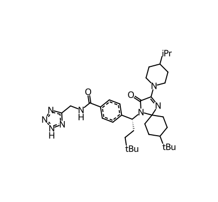 CC(C)C1CCN(C2=NC3(CCC(C(C)(C)C)CC3)N([C@H](CCC(C)(C)C)c3ccc(C(=O)NCc4nn[nH]n4)cc3)C2=O)CC1